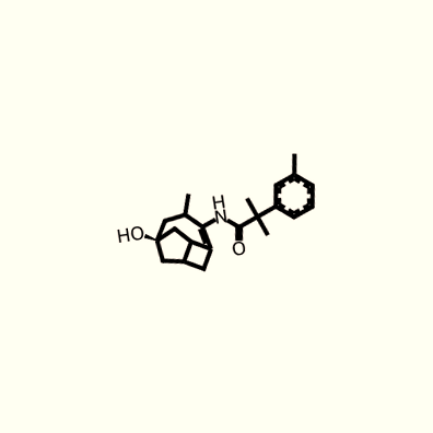 Cc1cccc(C(C)(C)C(=O)NC2=C3CC4C[C@](O)(CC2C)CC34)c1